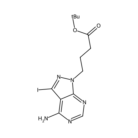 CC(C)(C)OC(=O)CCCn1nc(I)c2c(N)ncnc21